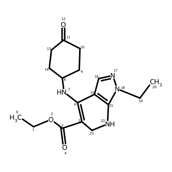 CCOC(=O)C1=C(NC2CCC(=O)CC2)c2cnn(CC)c2NC1